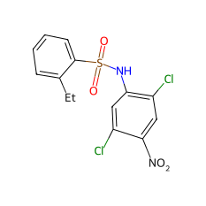 CCc1ccccc1S(=O)(=O)Nc1cc(Cl)c([N+](=O)[O-])cc1Cl